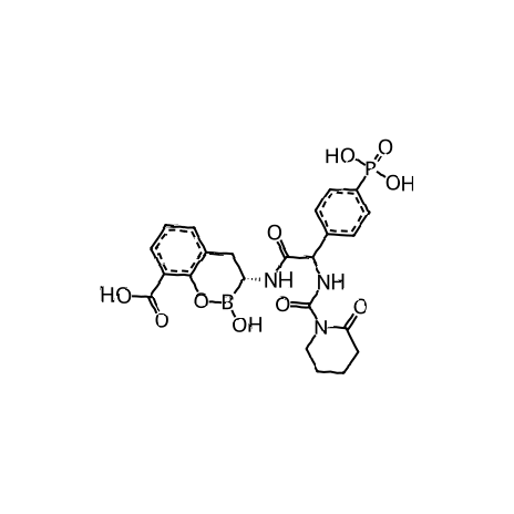 O=C(O)c1cccc2c1OB(O)[C@@H](NC(=O)C(NC(=O)N1CCCCC1=O)c1ccc(P(=O)(O)O)cc1)C2